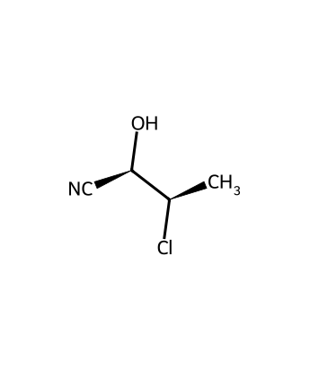 C[C@@H](Cl)[C@H](O)C#N